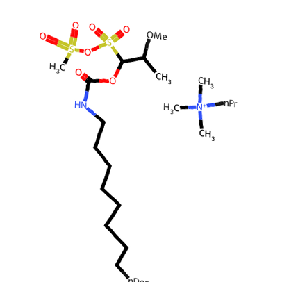 CCCCCCCCCCCCCCCCCCNC(=O)OC(C(C)OC)S(=O)(=O)OS(C)(=O)=O.CCC[N+](C)(C)C